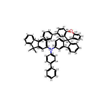 CC1(C)c2ccccc2-c2ccc(N(c3ccc(-c4ccccc4)cc3)c3ccc4c(c3)-c3ccccc3C43c4ccccc4Oc4ccc(-c5ccccc5)cc43)cc21